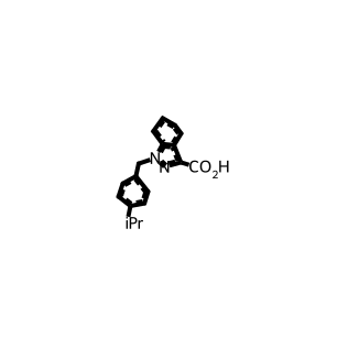 CC(C)c1ccc(Cn2nc(C(=O)O)c3ccccc32)cc1